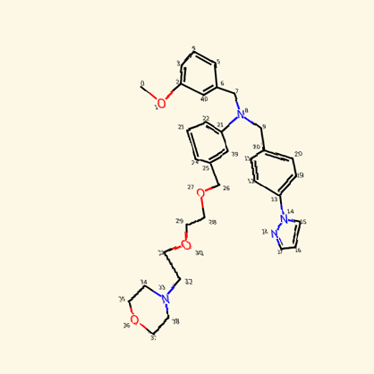 COc1cccc(CN(Cc2ccc(-n3cccn3)cc2)c2cccc(COCCOCCN3CCOCC3)c2)c1